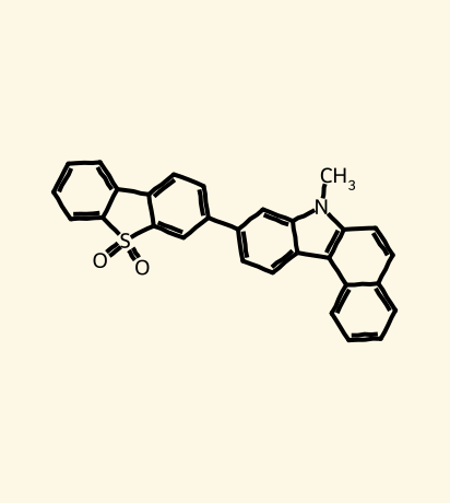 Cn1c2cc(-c3ccc4c(c3)S(=O)(=O)c3ccccc3-4)ccc2c2c3ccccc3ccc21